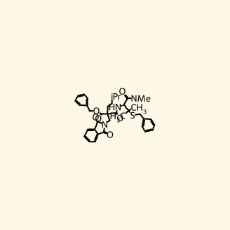 CNC(=O)[C@H](NC(=O)C(CCC(C)C)(CN1C(=O)c2ccccc2C1=O)C(=O)OCc1ccccc1)C(C)(C)SCc1ccccc1